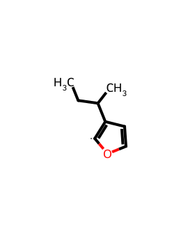 CCC(C)c1[c]occ1